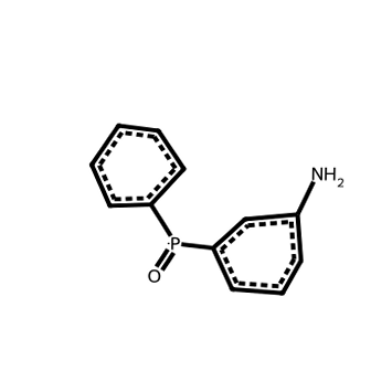 Nc1cccc([P](=O)c2ccccc2)c1